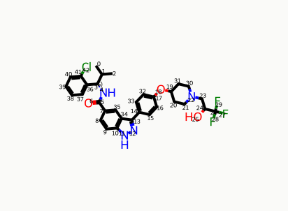 CC(C)[C@H](NC(=O)c1ccc2[nH]nc(-c3ccc(OC4CCN(CC(O)C(F)(F)F)CC4)cc3)c2c1)c1ccccc1Cl